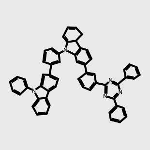 C1=CCC2C(=C1)N(c1cccc(-c3ccc4c5ccccc5n(-c5ccccc5)c4c3)c1)c1cc(-c3cccc(-c4nc(-c5ccccc5)nc(-c5ccccc5)n4)c3)ccc12